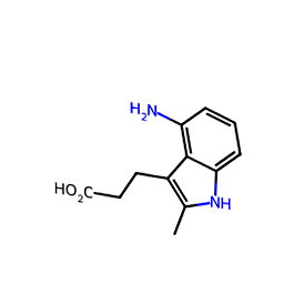 Cc1[nH]c2cccc(N)c2c1CCC(=O)O